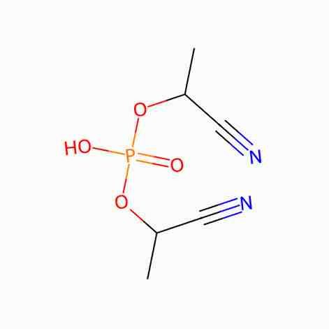 CC(C#N)OP(=O)(O)OC(C)C#N